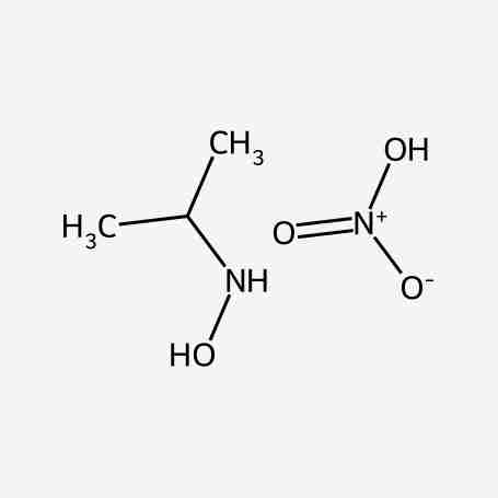 CC(C)NO.O=[N+]([O-])O